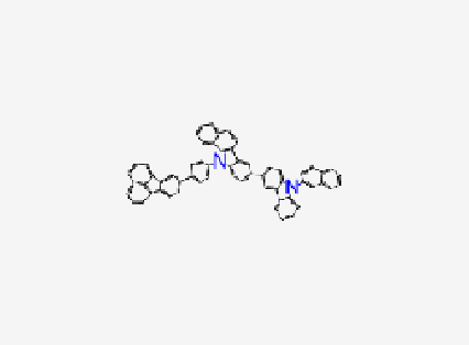 c1ccc2cc(-n3c4ccccc4c4cc(-c5ccc6c(c5)c5ccc7ccccc7c5n6-c5ccc(-c6ccc7c(c6)-c6cccc8cccc-7c68)cc5)ccc43)ccc2c1